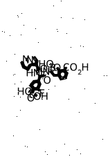 O=C(O)c1cccc2c1OB(O)[C@@H](NC(=O)[C@H](NC(=O)c1ccn3ncccc13)c1ccc(P(=O)(O)O)c(F)c1)C2